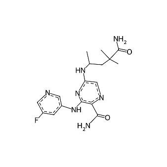 CC(CC(C)(C)C(N)=O)Nc1cnc(C(N)=O)c(Nc2cncc(F)c2)n1